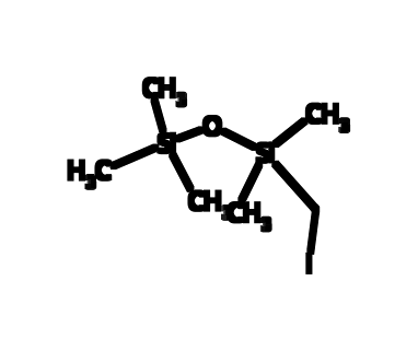 C[Si](C)(C)O[Si](C)(C)CI